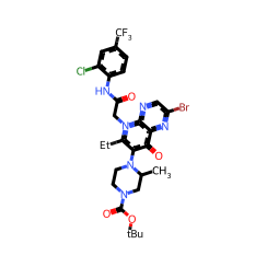 CCc1c(N2CCN(C(=O)OC(C)(C)C)CC2C)c(=O)c2nc(Br)cnc2n1CC(=O)Nc1ccc(C(F)(F)F)cc1Cl